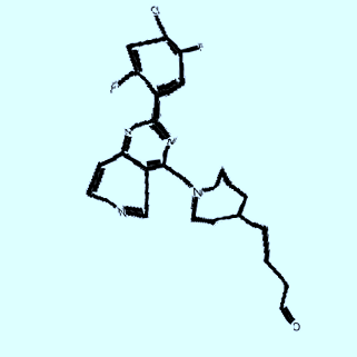 O=CCCCC1CCN(c2nc(-c3cc(F)c(Cl)cc3F)nc3ccncc23)CC1